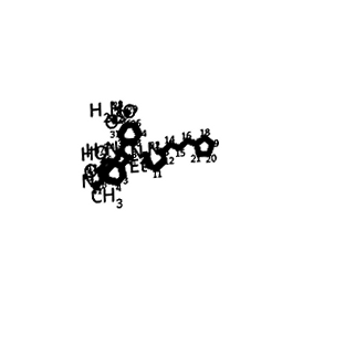 CCC1(c2ccccc2)N(c2cccc(CCCC3CCCC3)n2)c2ccc(S(N)(=O)=O)cc2C1(N)CC(O)c1cc(C)no1